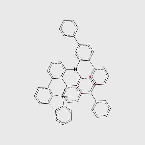 CC1(C)c2ccccc2-c2cccc(-c3cccc(N(c4ccc(-c5ccccc5)cc4)c4cc(-c5ccccc5)ccc4-c4ccccc4)c3-c3ccccc3)c21